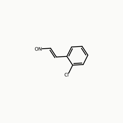 O=N/C=C/c1ccccc1Cl